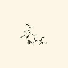 COC(=O)c1cnc2c(c1)C(CO)CN2C